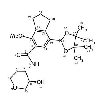 COc1c(C(=O)N[C@H]2CCOC[C@@H]2O)cc(B2OC(C)(C)C(C)(C)O2)c2c1CCC2